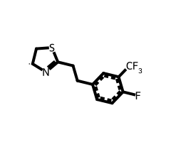 Fc1ccc(CCC2=N[CH]CS2)cc1C(F)(F)F